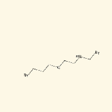 CC(C)CCCOCCNCC(C)C